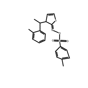 Cc1ccc(S(=O)(=O)O/N=C2\SC=CC2C(C)c2ccccc2C)cc1